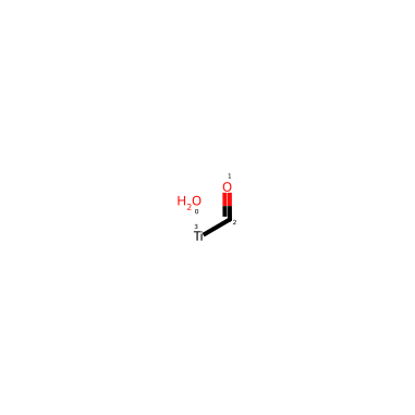 O.O=[CH][Ti]